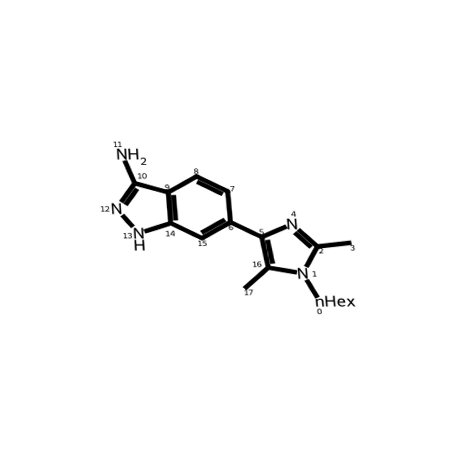 CCCCCCn1c(C)nc(-c2ccc3c(N)n[nH]c3c2)c1C